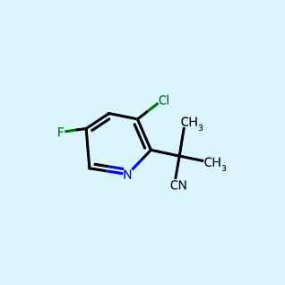 CC(C)(C#N)c1ncc(F)cc1Cl